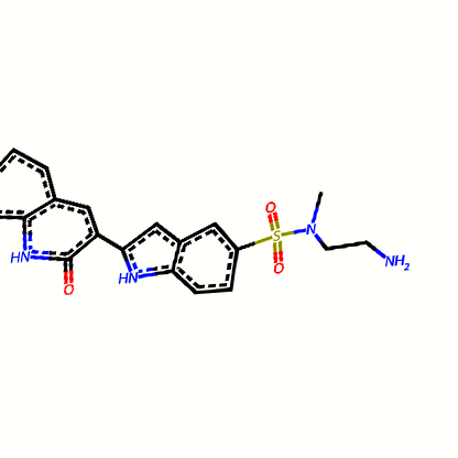 CN(CCN)S(=O)(=O)c1ccc2[nH]c(-c3cc4ccccc4[nH]c3=O)cc2c1